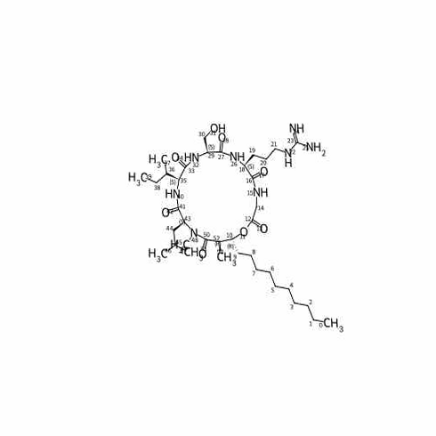 CCCCCCCCCC[C@H]1OC(=O)CNC(=O)[C@H](CCCNC(=N)N)NC(=O)[C@H](CO)NC(=O)[C@H](C(C)CC)NC(=O)[C@H](CC(C)C)N(C)C(=O)[C@@H]1C